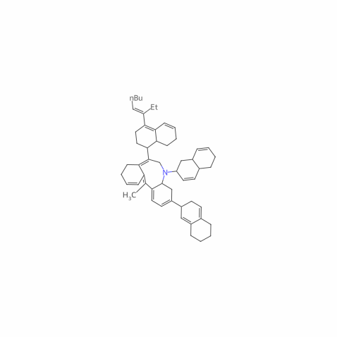 CCCC/C=C(\CC)C1=C2C=CCCC2C(/C2=C3\CCC=C\C3=C(\C)C3=CC=C(C4C=C5CCCCC5=CC4)CC3N(C3C=CC4CCC=CC4C3)C2)CC1